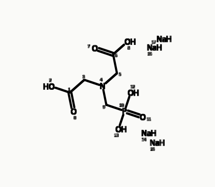 O=C(O)CN(CC(=O)O)CP(=O)(O)O.[NaH].[NaH].[NaH].[NaH]